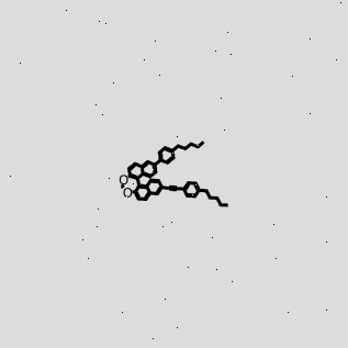 CCCCCc1ccc(C#Cc2ccc3c4c(ccc3c2)OCOc2ccc3cc(-c5ccc(CCCCC)cc5)ccc3c2-4)cc1